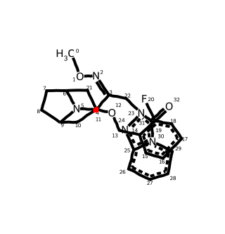 CO/N=C(\CN1C2CCC1CC(OCc1ccccc1F)C2)Cn1nc2ccccn2c1=O